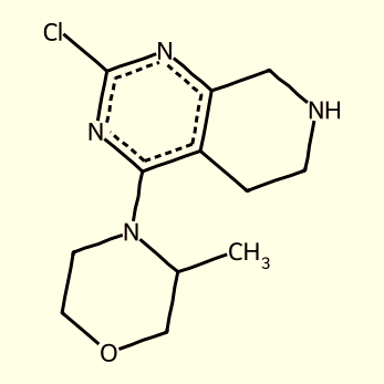 CC1COCCN1c1nc(Cl)nc2c1CCNC2